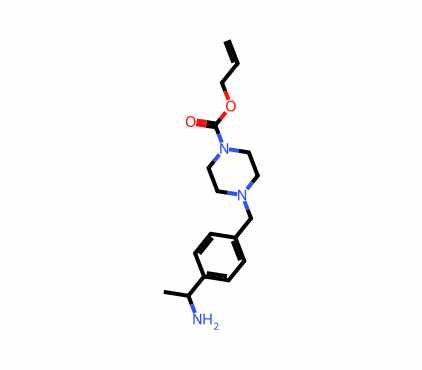 C=CCOC(=O)N1CCN(Cc2ccc(C(C)N)cc2)CC1